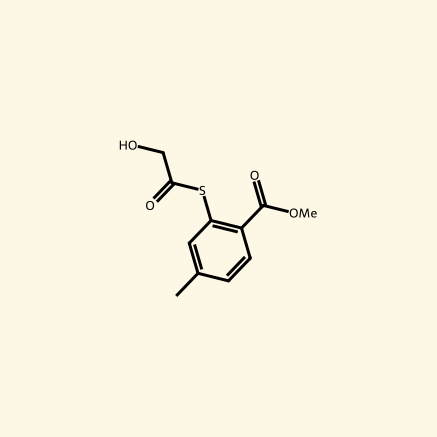 COC(=O)c1ccc(C)cc1SC(=O)CO